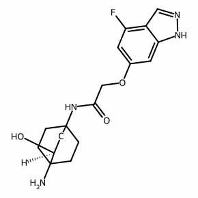 NC12CCC(NC(=O)COc3cc(F)c4cn[nH]c4c3)(CC1)C[C@@H]2O